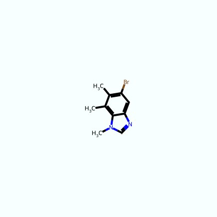 Cc1c(Br)cc2n[c]n(C)c2c1C